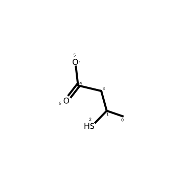 CC(S)CC([O])=O